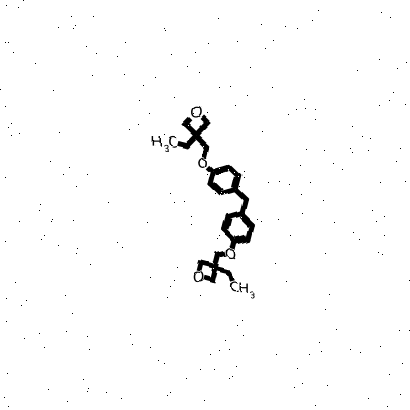 CCC1(COc2ccc(Cc3ccc(OCC4(CC)COC4)cc3)cc2)COC1